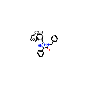 O=C(NCc1ccccc1)C(NCc1ccccc1)c1ccccc1.O=C(O)C=CC(=O)O